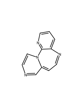 C1=CN2C(=CC=Nc3cccnc32)C=N1